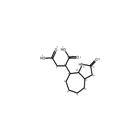 O=C(O)CC(C(=O)O)C1CCCCC2CC(=O)NC21